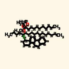 CCCCCCCCCCCCCCCCC.CCCCCCCCCC[Si](OC)(OC)OC.FC1CC=Cc2c1ccc1c2ccc2ccccc21